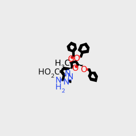 C[C@@]1(OCc2ccccc2)[C@H](OCc2ccccc2)[C@@H](COCc2ccccc2)O[C@H]1c1cc(C(=O)O)c2c(N)ncnn12